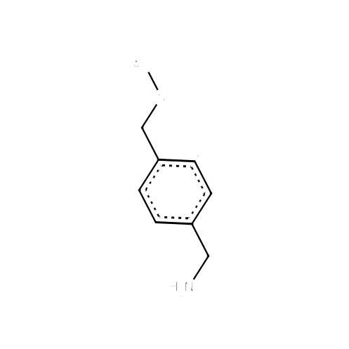 CC(=O)SCc1ccc(CN)cc1